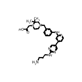 CC1(C)CN(Cc2cccc(Nc3cc(-c4cnc(NCCCN)nc4)ccn3)c2)CCN1CC(=O)O